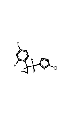 Fc1ccc(C2(C(F)(F)c3ccc(Cl)s3)CO2)c(F)c1